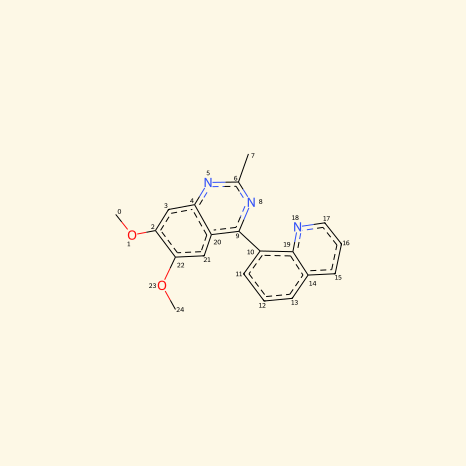 COc1cc2nc(C)nc(-c3cccc4cccnc34)c2cc1OC